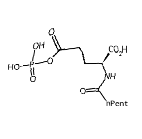 CCCCCC(=O)N[C@@H](CCC(=O)OP(=O)(O)O)C(=O)O